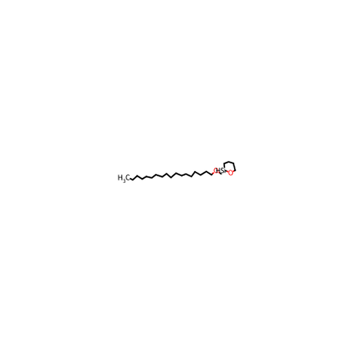 CCCCCCCCCCCCCCCCCCOC[SiH]1CCCCO1